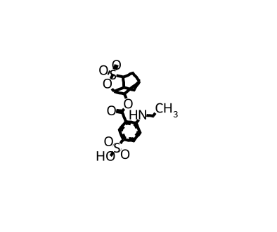 CCNc1ccc(S(=O)(=O)O)cc1C(=O)OC1C2CC3C1OS(=O)(=O)C3C2